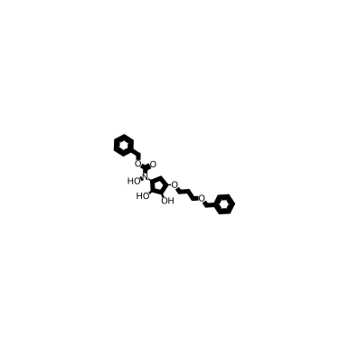 O=C(OCc1ccccc1)N(O)[C@@H]1C[C@H](OCCCOCc2ccccc2)[C@@H](O)[C@H]1O